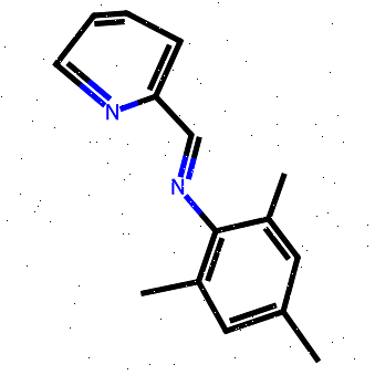 Cc1cc(C)c(N=Cc2ccccn2)c(C)c1